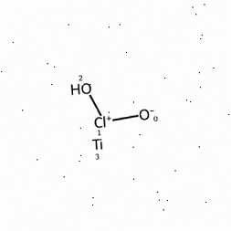 [O-][Cl+]O.[Ti]